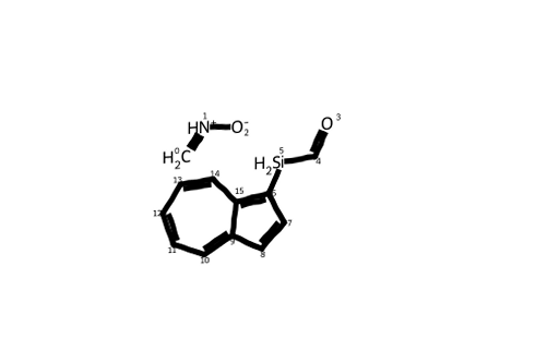 C=[NH+][O-].O=C[SiH2]c1ccc2cccccc1-2